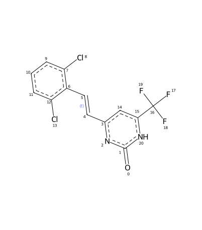 O=c1nc(/C=C/c2c(Cl)cccc2Cl)cc(C(F)(F)F)[nH]1